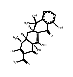 C[C@@H]1C(O)=C(C(N)=O)C(=O)[C@@]2(O)C(O)=C3C(=O)c4c(O)cccc4[C@@](C)(O)[C@H]3C[C@@H]12